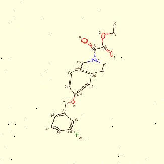 CCOC(=O)C(=O)N1CCc2cc(OCc3cccc(F)c3)ccc2C1